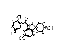 Cc1ccc(Cl)c(C(=O)NCC2(c3ccc(Cl)cc3)CCN(C)CC2)c1